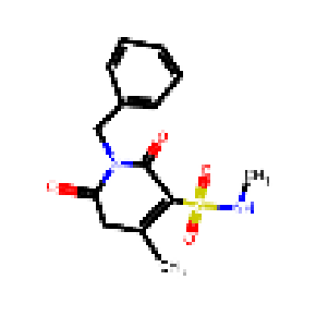 CNS(=O)(=O)C1=C(C)CC(=O)N(Cc2ccccc2)C1=O